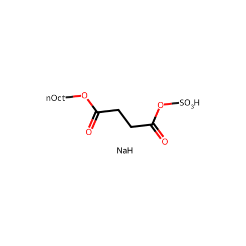 CCCCCCCCOC(=O)CCC(=O)OS(=O)(=O)O.[NaH]